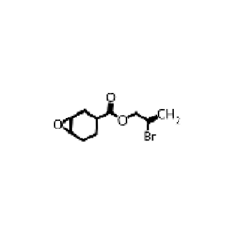 C=C(Br)COC(=O)C1CCC2OC2C1